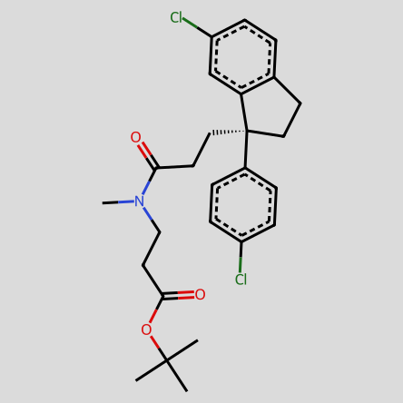 CN(CCC(=O)OC(C)(C)C)C(=O)CC[C@@]1(c2ccc(Cl)cc2)CCc2ccc(Cl)cc21